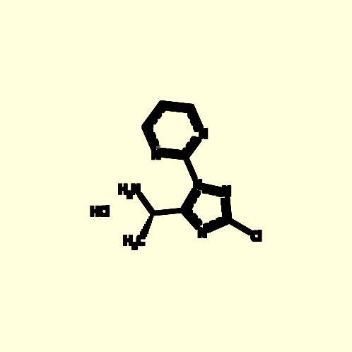 C[C@H](N)c1nc(Cl)nn1-c1ncccn1.Cl